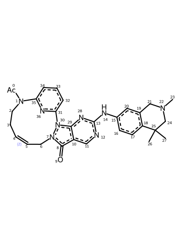 CC(=O)N1CC/C=C\Cn2c(=O)c3cnc(Nc4ccc5c(c4)CN(C)CC5(C)C)nc3n2-c2cccc1n2